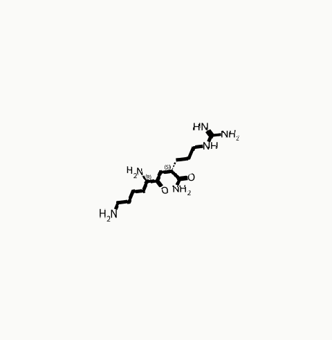 N=C(N)NCCC[C@@H](CC(=O)[C@H](N)CCCCN)C(N)=O